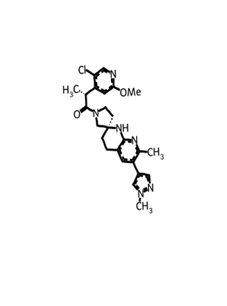 COc1cc([C@@H](C)C(=O)N2CC[C@]3(CCc4cc(-c5cnn(C)c5)c(C)nc4N3)C2)c(Cl)cn1